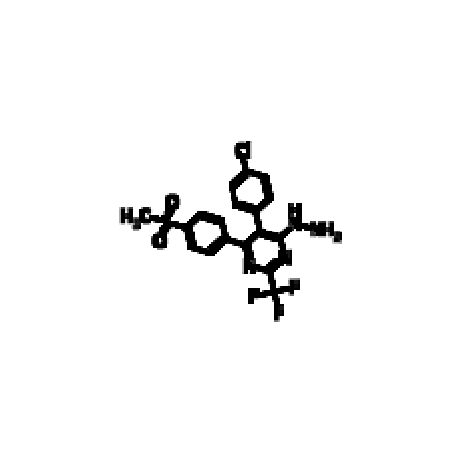 CS(=O)(=O)c1ccc(-c2nc(C(F)(F)F)nc(NN)c2-c2ccc(Cl)cc2)cc1